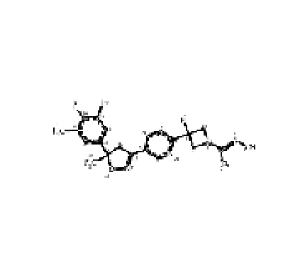 CC(C)C(=NC#N)N1CC(F)(c2ccc(C3=NOC(c4cc(F)c(F)c(C(F)(F)F)c4)(C(F)(F)F)C3)cn2)C1